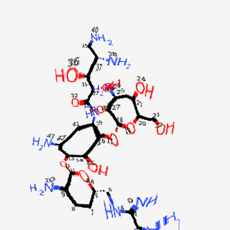 N=C(CN)NC[C@@H]1CCC(N)[C@@H](OC2C(O)C(O[C@H]3OC(CO)C(O)[C@H](N)C3O)[C@H](NC(=O)[C@@H](O)[C@@H](O)[C@@H](N)CN)C[C@@H]2N)O1